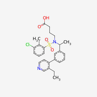 CCc1cnccc1-c1cccc(C(C)N(CCCC(=O)O)S(=O)(=O)c2cccc(Cl)c2C)c1